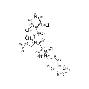 CC1(CN(CC(=O)c2c(Cl)cncc2Cl)C(=O)c2cnn(C3CCC(C)(C(=O)O)CC3)c2Cl)CC1